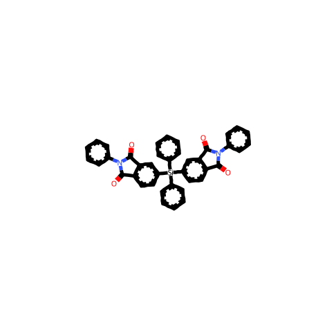 O=C1c2ccc([Si](c3ccccc3)(c3ccccc3)c3ccc4c(c3)C(=O)N(c3ccccc3)C4=O)cc2C(=O)N1c1ccccc1